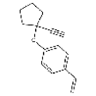 C#CC1(Oc2ccc(C=C)cc2)CCCC1